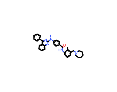 Cc1c(CN2CCCCCC2)cccc1NC(=O)c1ccc(Nc2nc(-c3ccccc3)c3ccccc3n2)cc1